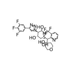 OC[C@@H]1[C@H](O)[C@@H](n2cc(-c3cc(F)c(F)c(F)c3)nn2)[C@@H](O)C[SH]1C(c1ncccc1C(F)(F)F)C1(O)CCOCC1